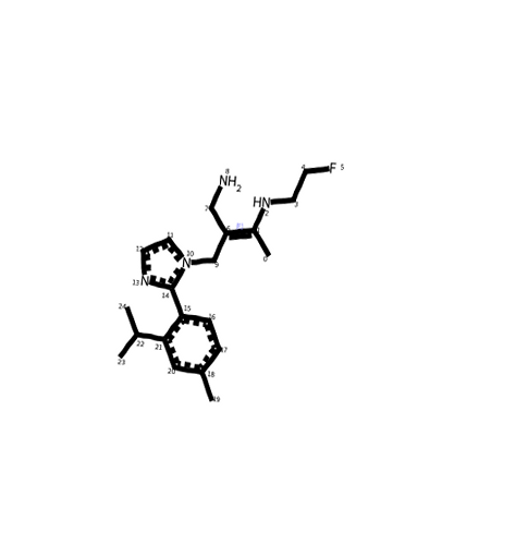 C/C(NCCF)=C(/CN)Cn1ccnc1-c1ccc(C)cc1C(C)C